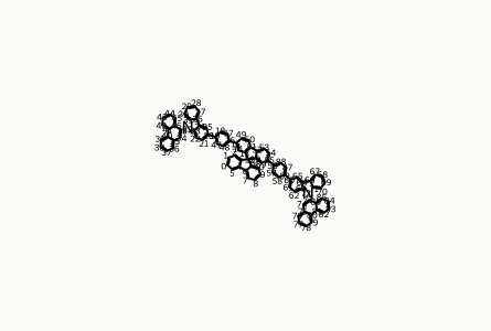 c1ccc2c(c1)-c1ccccc1C21c2cc(-c3ccc(-c4ccc5c(c4)c4ccccc4n5-c4cc5ccccc5c5ccccc45)cc3)ccc2-c2ccc(-c3ccc(-c4ccc5c(c4)c4ccccc4n5-c4cc5ccccc5c5ccccc45)cc3)cc21